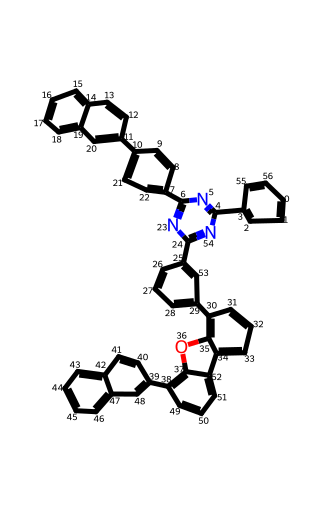 c1ccc(-c2nc(-c3ccc(-c4ccc5ccccc5c4)cc3)nc(-c3cccc(-c4cccc5c4oc4c(-c6ccc7ccccc7c6)cccc45)c3)n2)cc1